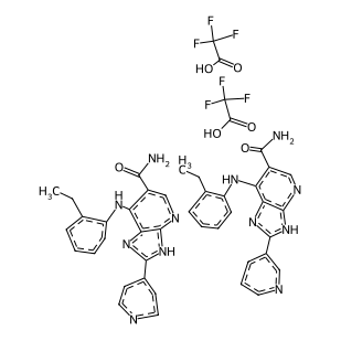 CCc1ccccc1Nc1c(C(N)=O)cnc2[nH]c(-c3cccnc3)nc12.CCc1ccccc1Nc1c(C(N)=O)cnc2[nH]c(-c3ccncc3)nc12.O=C(O)C(F)(F)F.O=C(O)C(F)(F)F